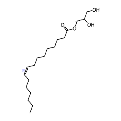 CCCCCC/C=C\CCCCCCCC(=O)O[CH]C(O)CO